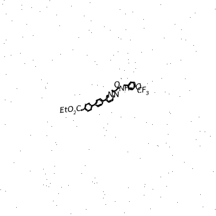 CCOC(=O)CC1CCC(c2ccc(-c3ccc4nc(C(=O)NCc5ccc(OC(F)(F)F)cc5)cn4c3)cc2)CC1